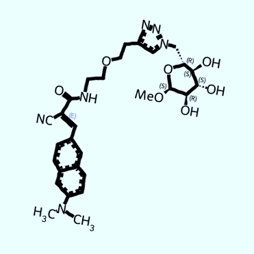 CO[C@H]1O[C@H](Cn2cc(CCOCCNC(=O)/C(C#N)=C/c3ccc4cc(N(C)C)ccc4c3)nn2)[C@@H](O)[C@H](O)[C@H]1O